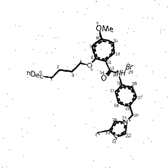 CCCCCCCCCCCCCCOc1cc(OC)ccc1C(=O)Nc1ccc(C[n+]2csc(C)c2)cc1.[Br-]